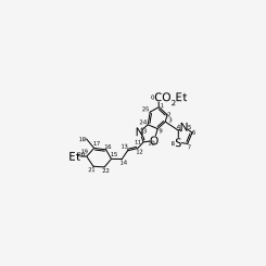 CCOC(=O)c1cc(-c2nccs2)c2oc(/C=C/CC3C=C(C)C(CC)CC3)nc2c1